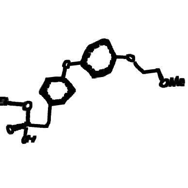 CCOP(=O)(O)Cc1ccc(Oc2ccc(OCCOC)cc2)cc1